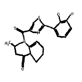 CC1CC(=O)C2CCCC=C2N1C(=O)c1csc(-c2cccc(Cl)c2Cl)n1